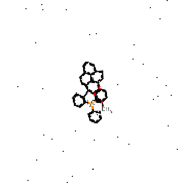 CC=C(C)c1cc2ccc3cccc4ccc(c1-c1ccccc1P(c1ccccc1)c1ccccc1)c2c34